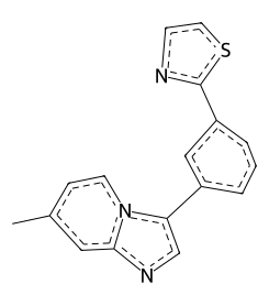 Cc1ccn2c(-c3cccc(-c4nccs4)c3)cnc2c1